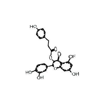 O=C(CCc1ccc(O)cc1)Oc1c(-c2ccc(O)c(O)c2)oc2cc(O)cc(O)c2c1=O